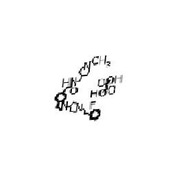 CCN1CCC(CNC(=O)Cc2ccc3ccn(C4CCN(CCc5ccccc5F)CC4)c3c2)CC1.O=C(O)C(=O)O